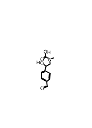 CN(CC(O)c1ccc(C=O)cc1)C(=O)O